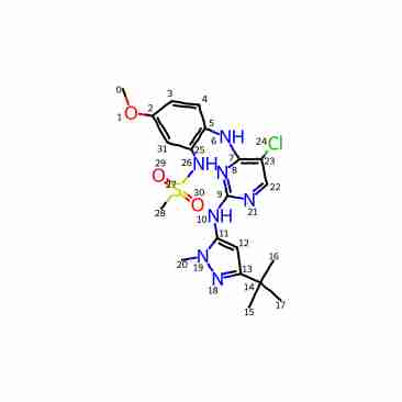 COc1ccc(Nc2nc(Nc3cc(C(C)(C)C)nn3C)ncc2Cl)c(NS(C)(=O)=O)c1